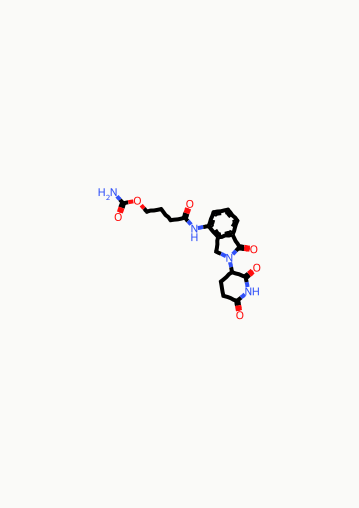 NC(=O)OCCCC(=O)Nc1cccc2c1CN(C1CCC(=O)NC1=O)C2=O